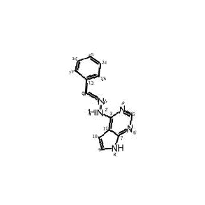 C(=NNc1ncnc2[nH]ccc12)c1ccccc1